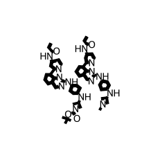 C=CC(=O)Nc1ccnc(-c2cccc3cnc(Nc4ccc(NC5CN(C(=O)OC(C)(C)C)C5)cc4)nc23)c1.C=CC(=O)Nc1ccnc(-c2cccc3cnc(Nc4ccc(NC5CN(C)C5)cc4)nc23)c1